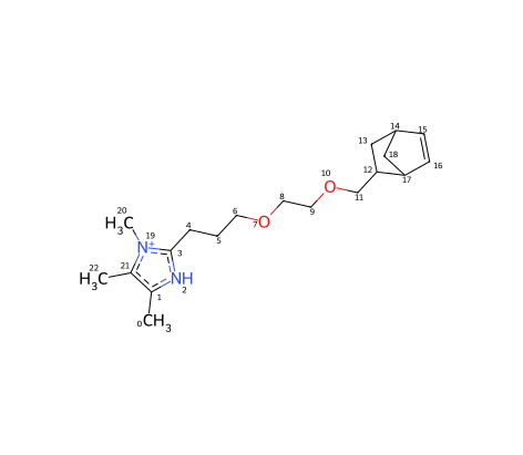 Cc1[nH]c(CCCOCCOCC2CC3C=CC2C3)[n+](C)c1C